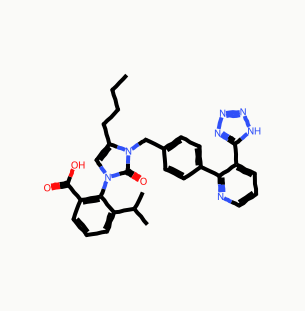 CCCCc1cn(-c2c(C(=O)O)cccc2C(C)C)c(=O)n1Cc1ccc(-c2ncccc2-c2nnn[nH]2)cc1